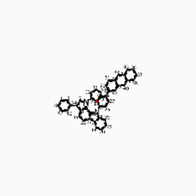 c1ccc(-c2cn(-c3ccccc3)c3c2ccc2c4ccccc4n(-c4ccc(-c5ccc6cc7ccccc7cc6c5)cc4)c23)cc1